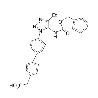 CCc1nnn(-c2ccc(-c3ccc(CC(=O)O)cc3)cc2)c1NC(=O)OC(C)c1ccccc1